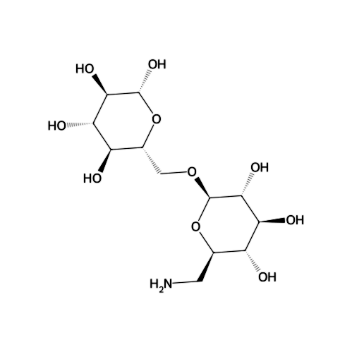 NC[C@H]1O[C@@H](OC[C@H]2O[C@@H](O)[C@H](O)[C@@H](O)[C@@H]2O)[C@H](O)[C@@H](O)[C@@H]1O